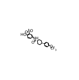 CS(=O)(=O)c1cc(NC(=O)[C@H]2CC[C@H](c3ccc(OC(F)(F)F)cc3)CC2)ccc1O